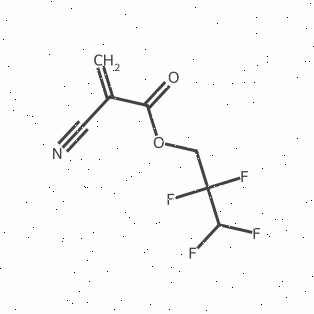 C=C(C#N)C(=O)OCC(F)(F)C(F)F